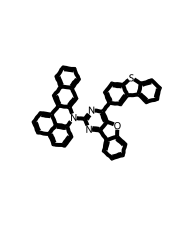 c1ccc2cc3c(cc2c1)-c1cccc2cccc(c12)N3c1nc(-c2ccc3sc4ccccc4c3c2)c2oc3ccccc3c2n1